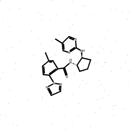 Cc1cnc(N[C@H]2CCC[C@@H]2NC(=O)c2cc(C)ccc2-n2nccn2)nc1